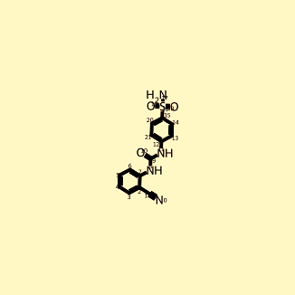 N#Cc1ccccc1NC(=O)Nc1ccc(S(N)(=O)=O)cc1